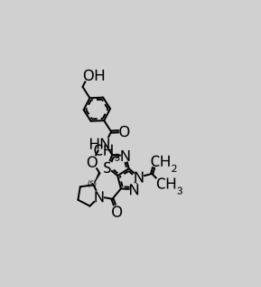 C=C(C)n1nc(C(=O)N2CCC[C@H]2COC)c2sc(NC(=O)c3ccc(CO)cc3)nc21